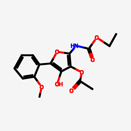 CCOC(=O)Nc1oc(-c2ccccc2OC)c(O)c1OC(C)=O